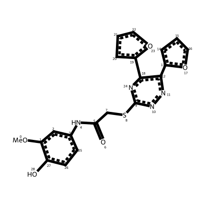 COc1cc(NC(=O)CSc2nnc(-c3ccco3)c(-c3ccco3)n2)ccc1O